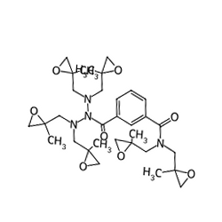 CC1(CN(CC2(C)CO2)C(=O)c2cccc(C(=O)N(N(CC3(C)CO3)CC3(C)CO3)N(CC3(C)CO3)CC3(C)CO3)c2)CO1